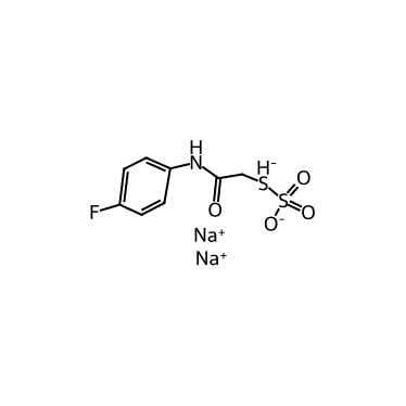 O=C(C[SH-]S(=O)(=O)[O-])Nc1ccc(F)cc1.[Na+].[Na+]